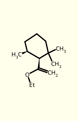 C=C(OCC)[C@H]1[C@@H](C)CCCC1(C)C